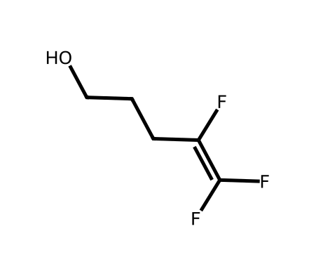 OCCCC(F)=C(F)F